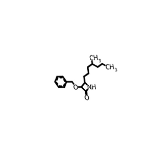 CCCC(C)CCCC1NC(=O)C1OCc1ccccc1